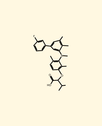 Cc1cc(-c2cccc(F)c2)cc(N(C)c2c(C)ccc(OC(C(=O)O)C(C)C)c2C)c1C